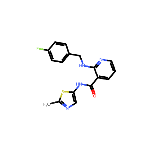 O=C(Nc1cnc(C(F)(F)F)s1)c1cccnc1NCc1ccc(F)cc1